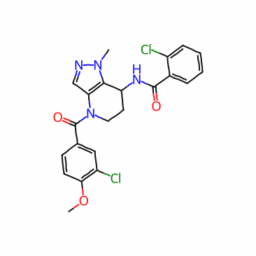 COc1ccc(C(=O)N2CCC(NC(=O)c3ccccc3Cl)c3c2cnn3C)cc1Cl